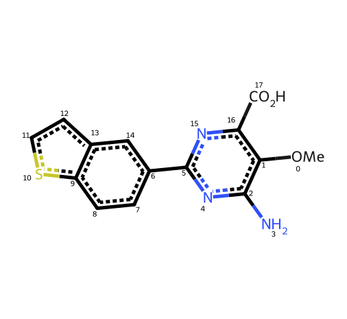 COc1c(N)nc(-c2ccc3sccc3c2)nc1C(=O)O